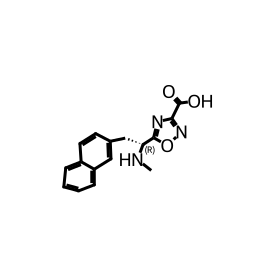 CN[C@H](Cc1ccc2ccccc2c1)c1nc(C(=O)O)no1